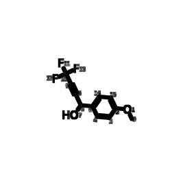 COc1ccc(C(O)C#CC(F)(F)F)cc1